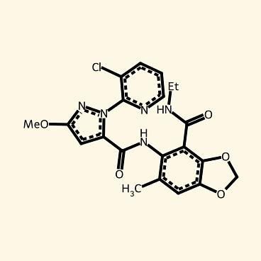 CCNC(=O)c1c(NC(=O)c2cc(OC)nn2-c2ncccc2Cl)c(C)cc2c1OCO2